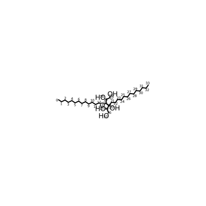 CCCCCCCCCCCCCOC(C(O)CO)C(O)(CCCCCCCCCCCCC)C(O)CO